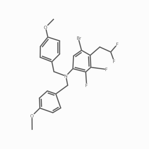 COc1ccc(CN(Cc2ccc(OC)cc2)c2cc(Br)c(CC(F)F)c(F)c2F)cc1